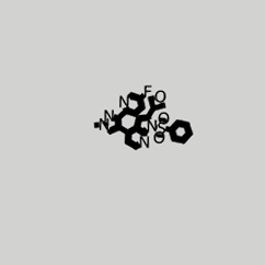 Cn1cc(-c2ccnc3c2cc(C2COC2)n3S(=O)(=O)c2ccccc2)c(-c2ccc(F)cn2)n1